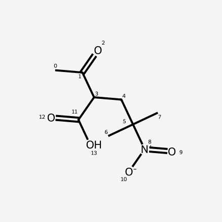 CC(=O)C(CC(C)(C)[N+](=O)[O-])C(=O)O